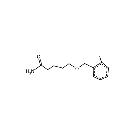 Cc1ccccc1COCCCCC(N)=O